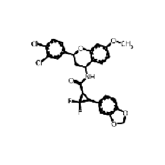 COc1ccc2c(c1)OC(c1ccc(Cl)c(Cl)c1)CC2NC(=O)C1C(c2ccc3c(c2)OCO3)C1(F)F